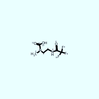 CN(CCNC(=O)C(F)(F)F)C(=O)O